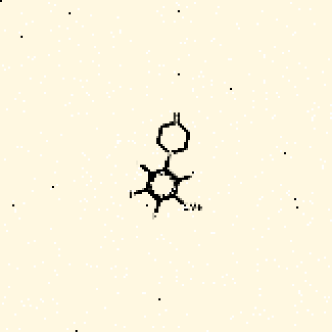 CSc1c(F)c(F)c(F)c(N2CCNCC2)c1F